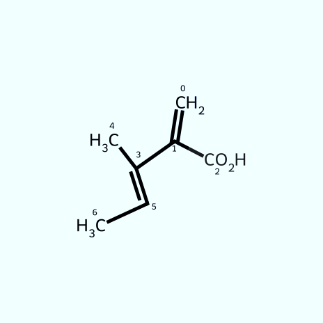 C=C(C(=O)O)C(C)=CC